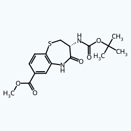 COC(=O)c1ccc2c(c1)NC(=O)[C@@H](NC(=O)OC(C)(C)C)CS2